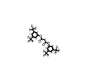 O=C(CC(=O)Oc1cc(C(F)(F)F)cc(C(F)(F)F)c1)Oc1cc(C(F)(F)F)cc(C(F)(F)F)c1